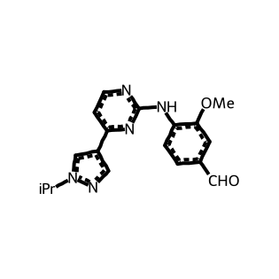 COc1cc(C=O)ccc1Nc1nccc(-c2cnn(C(C)C)c2)n1